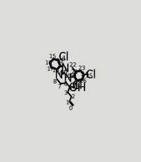 C=CCCC(O)C1CCn2c(nc3c(Cl)cccc32)N1c1c(C)cc(Cl)cc1Cl